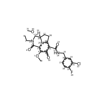 CCN1C(=O)c2c(OC)c(=O)c(C(=O)NCc3ccc(F)c(Cl)c3)c3n2[C@@H](CC3)[C@H]1OC